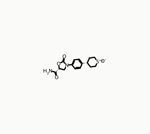 NC(=O)[C@H]1CN(c2ccc([C@H]3CC[S@@+]([O-])CC3)cc2)C(=O)O1